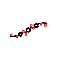 O=C(Oc1ccc(COCC2CO2)cc1)c1ccc(C(=O)Oc2ccc(OCCC3CO3)cc2)cc1